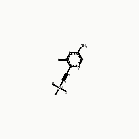 Cc1cc(N)cnc1C#C[Si](C)(C)C